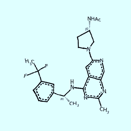 CC(=O)N[C@H]1CCN(c2cc3c(N[C@H](C)c4cccc(C(C)(F)F)c4)nc(C)nc3cn2)C1